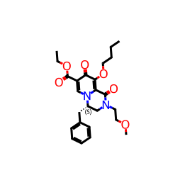 CCCCOc1c2n(cc(C(=O)OCC)c1=O)[C@@H](Cc1ccccc1)CN(CCOC)C2=O